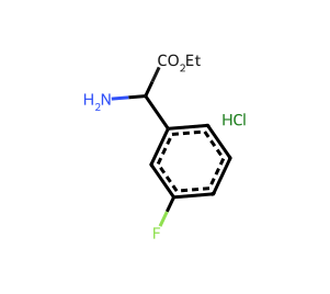 CCOC(=O)C(N)c1cccc(F)c1.Cl